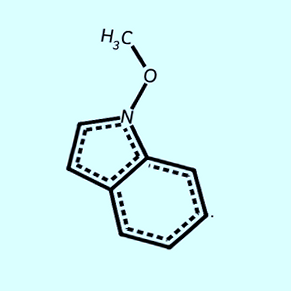 COn1ccc2cc[c]cc21